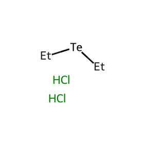 CC[Te]CC.Cl.Cl